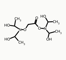 CC(O)N(OCC(=O)ON(C(C)O)C(C)O)C(C)O